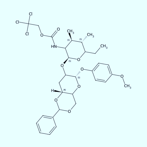 CCC1O[C@@H](OC2C[C@H]3OC(c4ccccc4)OCC3O[C@H]2Oc2ccc(OC)cc2)C(NC(=O)OCC(Cl)(Cl)Cl)[C@@H](C)[C@@H]1C